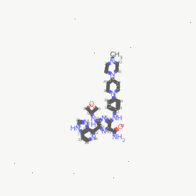 CN1CCN(C2CCN(c3ccc(Nc4nc(NC5COC5)c(-c5nccc6[nH]cnc56)nc4C(N)=O)cc3)CC2)CC1